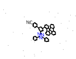 N#Cc1ccc(-c2cc(-c3nc(-c4ccccc4)nc(-c4ccccc4)n3)cc(-c3cccc4c3-c3ccccc3C43c4ccccc4-c4ccccc43)c2)cc1